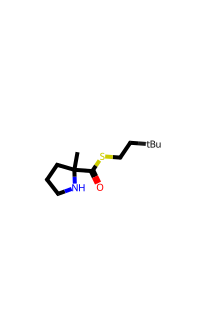 CC(C)(C)CCSC(=O)C1(C)CCCN1